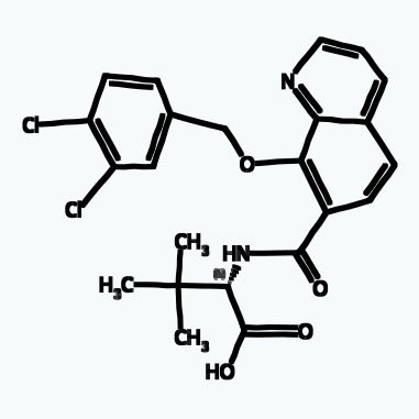 CC(C)(C)[C@H](NC(=O)c1ccc2cccnc2c1OCc1ccc(Cl)c(Cl)c1)C(=O)O